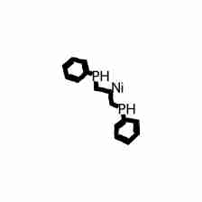 [Ni].c1ccc(PCCCPc2ccccc2)cc1